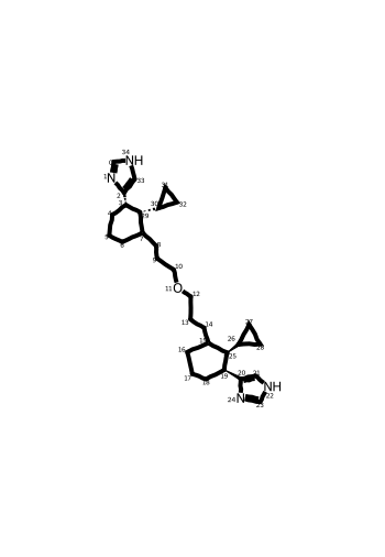 c1nc([C@H]2CCCC(CCCOCCCC3CCC[C@H](c4c[nH]cn4)[C@@H]3C3CC3)[C@H]2C2CC2)c[nH]1